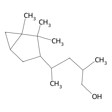 CC(CO)CC(C)C1CC2CC2(C)C1(C)C